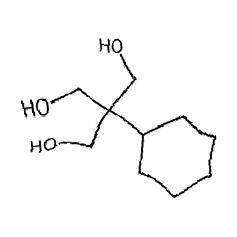 OCC(CO)(CO)C1CCCCC1